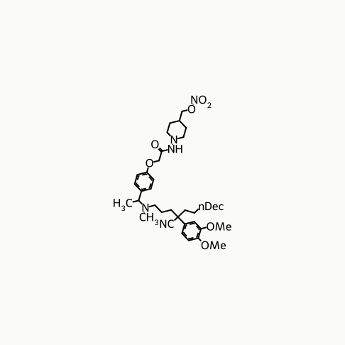 CCCCCCCCCCCCC(C#N)(CCCN(C)C(C)c1ccc(OCC(=O)NN2CCC(CO[N+](=O)[O-])CC2)cc1)c1ccc(OC)c(OC)c1